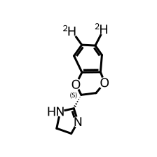 [2H]c1cc2c(cc1[2H])O[C@@H](C1=NCCN1)CO2